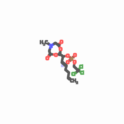 C=CCC/C=C/C(OS(=O)(=O)OCC(Cl)(Cl)Cl)B1OC(=O)CN(C)CC(=O)O1